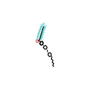 CCCCCCC[C@H]1CC[C@H](CC[C@H]2CC[C@H](c3ccc(C(=O)C(F)(F)C(F)(F)C(F)(F)C(F)(F)C(F)(F)C(F)(F)C(F)(F)C(F)(F)F)cc3)CC2)CC1